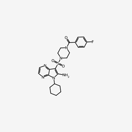 Nc1c(S(=O)(=O)N2CCN(C(=O)c3ccc(F)cc3)CC2)c2nccnc2n1C1CCCCC1